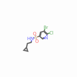 O=S(=O)(NCCC1CC1)c1cnc(Cl)c(Br)c1